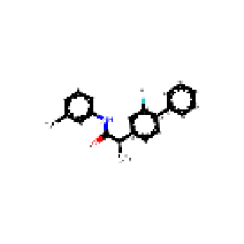 Cc1cccc(NC(=O)[C@H](C)c2ccc(-c3ccccc3)c(F)c2)c1